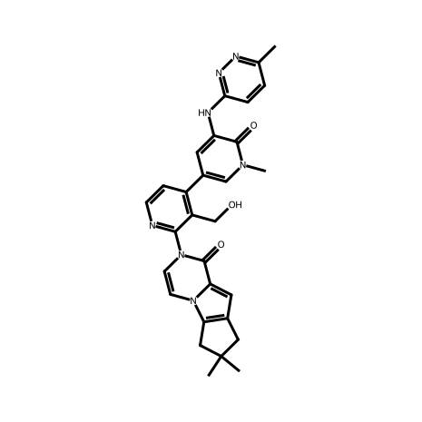 Cc1ccc(Nc2cc(-c3ccnc(-n4ccn5c6c(cc5c4=O)CC(C)(C)C6)c3CO)cn(C)c2=O)nn1